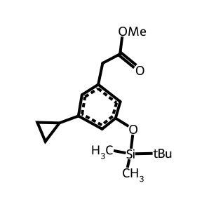 COC(=O)Cc1cc(O[Si](C)(C)C(C)(C)C)cc(C2CC2)c1